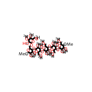 [2H]OCC1OC(OCC2OC(OC)C(O[2H])C(O[2H])C2OC2OC(CO[2H])C(OC3OC(CO[2H])C(OC4OC(CO[2H])C(OC5OC(CO[2H])C(OC)C(O[2H])C5O[2H])C(O[2H])C4O[2H])C(O[2H])C3O[2H])C(O[2H])C2O[2H])C(O)C(O[2H])C1O[2H]